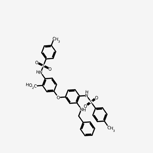 Cc1ccc(S(=O)(=O)Nc2ccc(Oc3ccc(NS(=O)(=O)c4ccc(C)cc4)c(C(=O)O)c3)cc2NCc2ccccc2)cc1